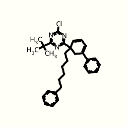 CC(C)(C)c1nc(Cl)nc(C2(CCCCCCc3ccccc3)C=CC=C(c3ccccc3)C2)n1